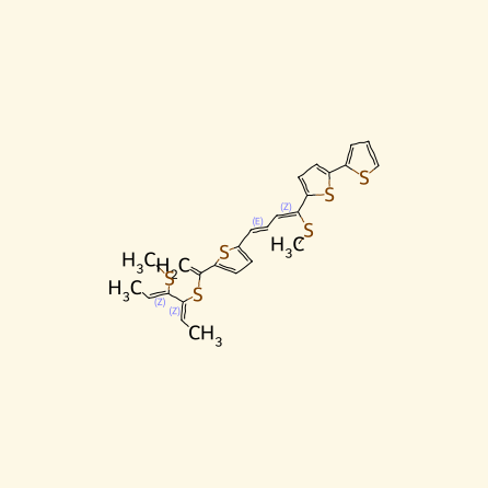 C=C(SC(=C\C)/C(=C/C)SC)c1ccc(/C=C/C=C(\SC)c2ccc(-c3cccs3)s2)s1